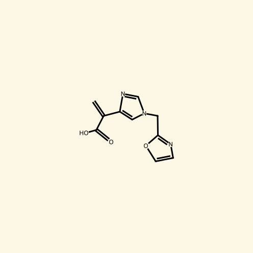 C=C(C(=O)O)c1cn(Cc2ncco2)cn1